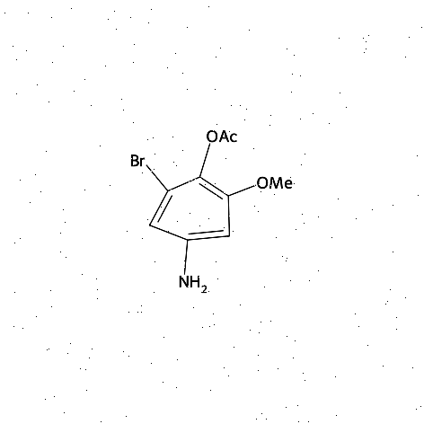 COc1cc(N)cc(Br)c1OC(C)=O